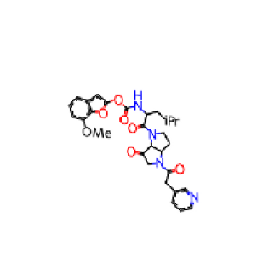 COc1cccc2cc(OC(=O)NC(CC(C)C)C(=O)N3CCC4C3C(=O)CN4C(=O)Cc3cccnc3)oc12